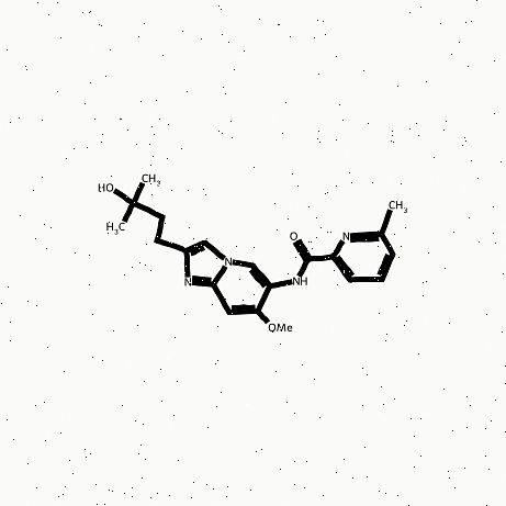 COc1cc2nc(CCC(C)(C)O)cn2cc1NC(=O)c1cccc(C)n1